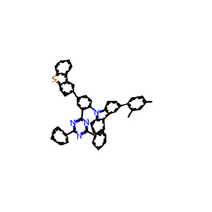 Cc1ccc(-c2ccc3c(c2)c2ccccc2n3-c2ccc(-c3ccc4sc5ccccc5c4c3)cc2-c2nc(-c3ccccc3)nc(-c3ccccc3)n2)c(C)c1